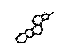 Cc1cc2c(ccc3c4cc5ccccc5cc4ccc23)s1